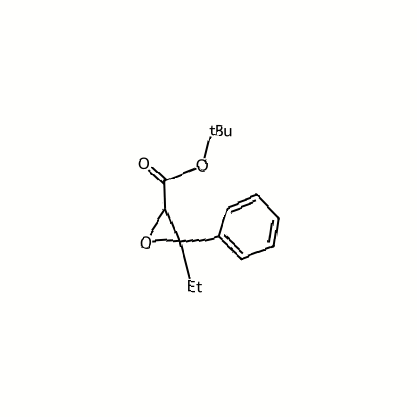 CCC1(c2ccccc2)OC1C(=O)OC(C)(C)C